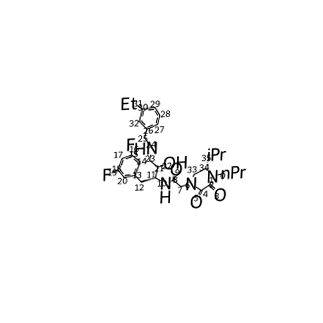 CCCN1C(=O)C(=O)N(CC(=O)N[C@@H](Cc2cc(F)cc(F)c2)[C@H](O)CNCc2cccc(CC)c2)C[C@@H]1C(C)C